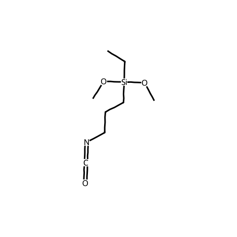 CC[Si](CCCN=C=O)(OC)OC